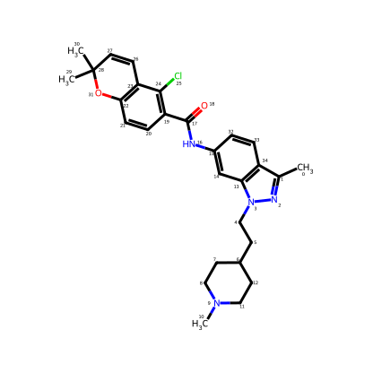 Cc1nn(CCC2CCN(C)CC2)c2cc(NC(=O)c3ccc4c(c3Cl)C=CC(C)(C)O4)ccc12